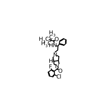 CC(C)(C)C(=O)NC(CCN1CC2CN(C(=O)c3c(F)cccc3Cl)C[C@@H]2C1)c1ccccc1